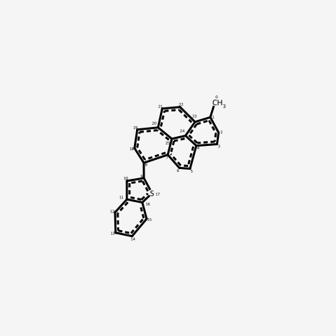 Cc1ccc2ccc3c(-c4cc5ccccc5s4)ccc4ccc1c2c43